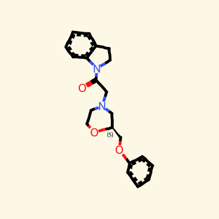 O=C(CN1CCO[C@H](COc2ccccc2)C1)N1CCc2ccccc21